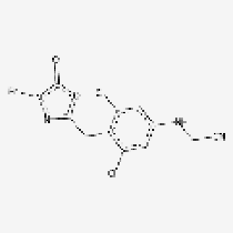 CC(C)n1nc(Cc2c(Cl)cc(NCC#N)cc2Cl)oc1=O